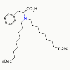 CCCCCCCCCCCCCCCCCCN(CCCCCCCCCCCCCCCCCC)[C@@H](Cc1ccccc1)C(=O)O